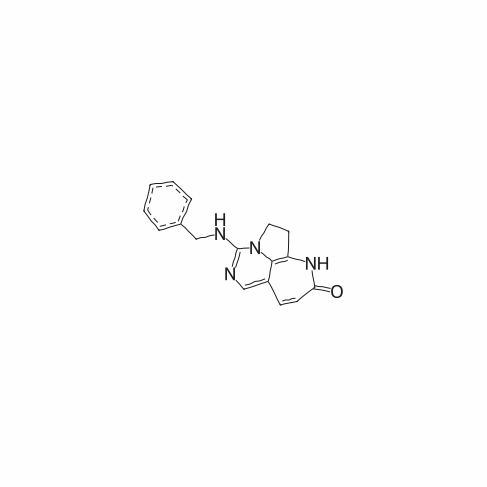 O=C1C=CC2=CN=C(NCc3ccccc3)N3CCC(=C23)N1